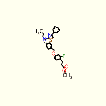 CCCN(Cc1ccc(COc2ccc(CCC(=O)OCC)c(F)c2)cc1)c1nc(-c2ccccc2)cs1